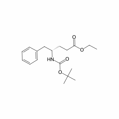 CCOC(=O)CC[C@@H](Cc1ccccc1)NC(=O)OC(C)(C)C